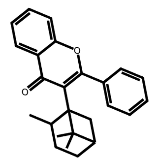 CC1CCC2CC1(c1c(-c3ccccc3)oc3ccccc3c1=O)C2(C)C